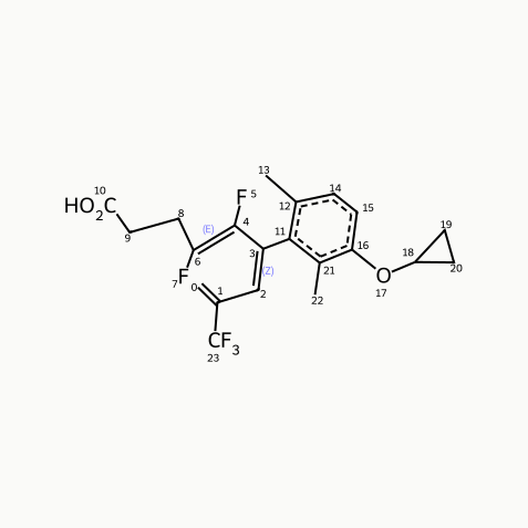 C=C(/C=C(\C(F)=C(/F)CCC(=O)O)c1c(C)ccc(OC2CC2)c1C)C(F)(F)F